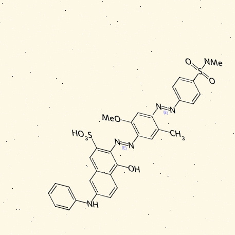 CNS(=O)(=O)c1ccc(/N=N/c2cc(OC)c(/N=N/c3c(S(=O)(=O)O)cc4cc(Nc5ccccc5)ccc4c3O)cc2C)cc1